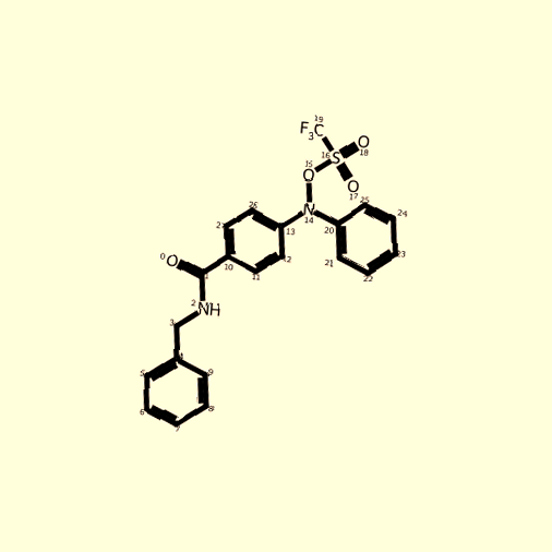 O=C(NCc1ccccc1)c1ccc(N(OS(=O)(=O)C(F)(F)F)c2ccccc2)cc1